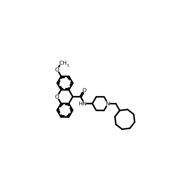 COc1ccc2c(c1)Oc1ccccc1C2C(=O)NC1CCN(CC2CCCCCCC2)CC1